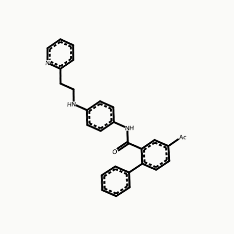 CC(=O)c1ccc(-c2ccccc2)c(C(=O)Nc2ccc(NCCc3ccccn3)cc2)c1